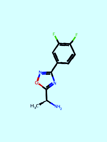 C[C@H](N)c1nc(-c2ccc(F)c(F)c2)no1